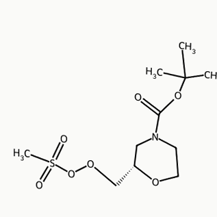 CC(C)(C)OC(=O)N1CCO[C@H](COOS(C)(=O)=O)C1